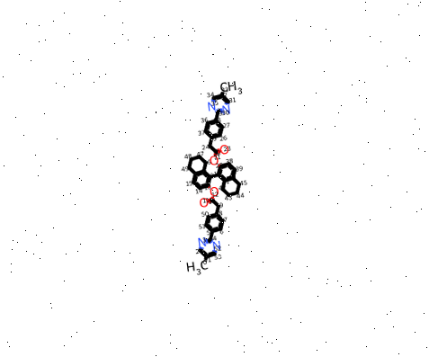 Cc1cnc(-c2ccc(CC(=O)Oc3ccc4c(c3-c3c(OC(=O)Cc5ccc(-c6ncc(C)cn6)cc5)ccc5c3CCCC5)CCCC4)cc2)nc1